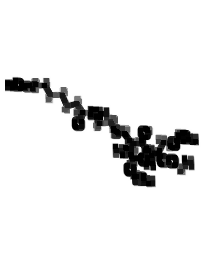 CCCCCCCCCCCCCCCC(=O)NCCSC[C@H](NC(=O)OC(C)(C)C)C(=O)NC(COC(C)(C)C)C(=O)O